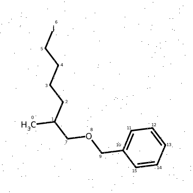 CC(CC[CH]CI)COCc1ccccc1